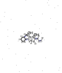 C=C(OO)/C(CC(C)(C)C(C)/C(OO)=C(C)\C=C/C)=c1/cccc/c1=C/C